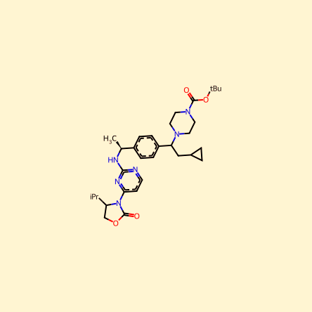 CC(C)C1COC(=O)N1c1ccnc(N[C@@H](C)c2ccc(C(CC3CC3)N3CCN(C(=O)OC(C)(C)C)CC3)cc2)n1